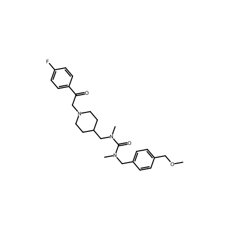 COCc1ccc(CN(C)C(=O)N(C)CC2CCN(CC(=O)c3ccc(F)cc3)CC2)cc1